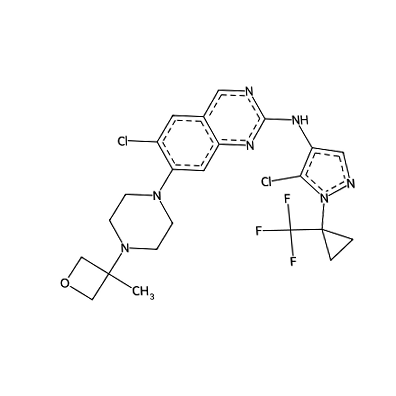 CC1(N2CCN(c3cc4nc(Nc5cnn(C6(C(F)(F)F)CC6)c5Cl)ncc4cc3Cl)CC2)COC1